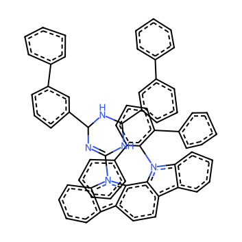 c1ccc(-c2cccc(C3N=C(n4c5ccccc5c5ccc6c7ccccc7n(-c7c(-c8ccccc8)cccc7-c7ccccc7)c6c54)NC(c4cccc(-c5ccccc5)c4)N3)c2)cc1